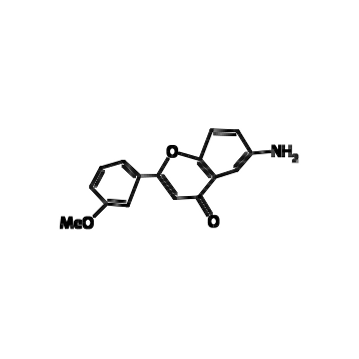 COc1cccc(-c2cc(=O)c3cc(N)ccc3o2)c1